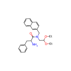 CCOC(CN(Cc1ccc2ccccc2c1)C(=O)C(N)Cc1ccccc1)OCC